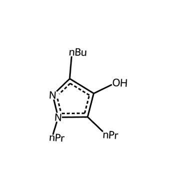 CCCCc1nn(CCC)c(CCC)c1O